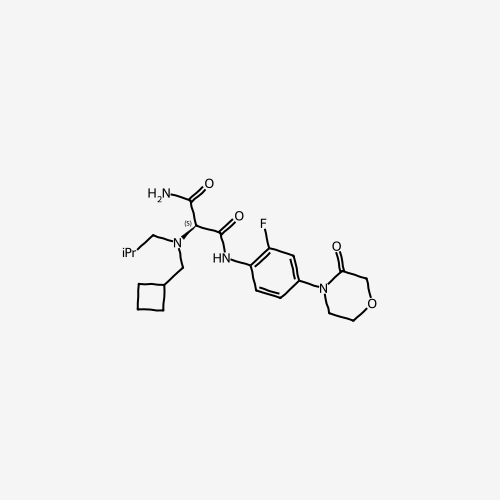 CC(C)CN(CC1CCC1)[C@@H](C(N)=O)C(=O)Nc1ccc(N2CCOCC2=O)cc1F